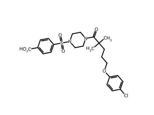 CC(C)(CCCOc1ccc(Cl)cc1)C(=O)N1CCN(S(=O)(=O)c2ccc(C(=O)O)cc2)CC1